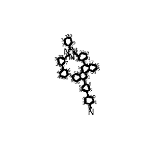 N#Cc1ccc(-c2ccc(-c3cc4c5ccccc5c(-c5cccc(-c6nc(-c7ccccc7)nc(-c7cccc(-c8ccccc8)c7)n6)c5)cc4c4ccccc34)cc2)cc1